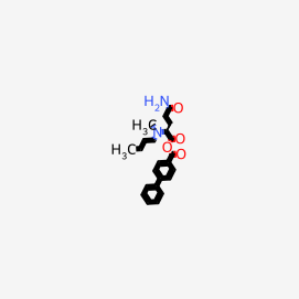 CCCCN(C)[C@@H](CCC(N)=O)C(=O)OC(=O)c1ccc(-c2ccccc2)cc1